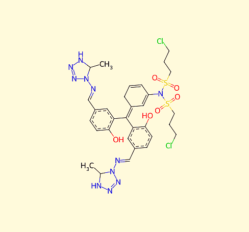 CC1NN=NN1N=Cc1ccc(O)c(C(=C2C=C(N(S(=O)(=O)CCCCl)S(=O)(=O)CCCCl)C=CC2)c2cc(C=NN3N=NNC3C)ccc2O)c1